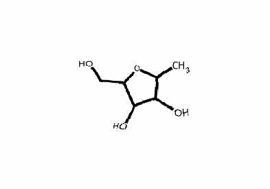 CC1OC(CO)C(O)C1O